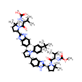 COC(=O)N[C@H](C(=O)N1[C@H](c2nc3cc([C@H]4CC[C@H](c5ccc6[nH]c(C7CCC(C)(C)N7C(=O)[C@@H](NC(=O)O)C(C)C)nc6c5)N4c4ccc(C(C)(C)C)cc4)ccc3[nH]2)CCC1(C)C)C(C)C